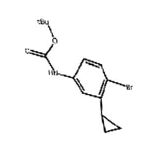 CC(C)(C)OC(=O)Nc1ccc(Br)c(C2CC2)c1